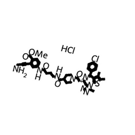 COC(=O)c1ccc(NC(=O)CCCNC(=O)C2CCN(C(=O)C[C@@H]3N=C(c4ccc(Cl)cc4)c4c(sc(C)c4C)-n4c(C)nnc43)CC2)cc1C#CCN.Cl